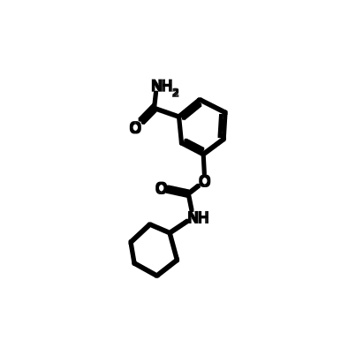 NC(=O)c1cccc(OC(=O)NC2CCCCC2)c1